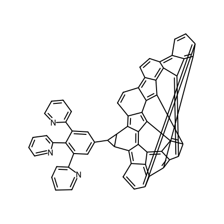 c1ccc(-c2cc(C3C4c5c6ccc7c8ccc9c%10ccc%11c%12ccc%13c(c%14c5c5c6c7c6c8c9c7c%10c%11c8c%12c%13c%14c9c5c6c7c89)C34)cc(-c3ccccn3)c2-c2ccccn2)nc1